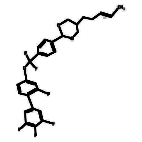 C/C=C/CCC1COC(c2ccc(C(F)(F)Oc3ccc(-c4cc(F)c(F)c(F)c4)c(F)c3)cc2)OC1